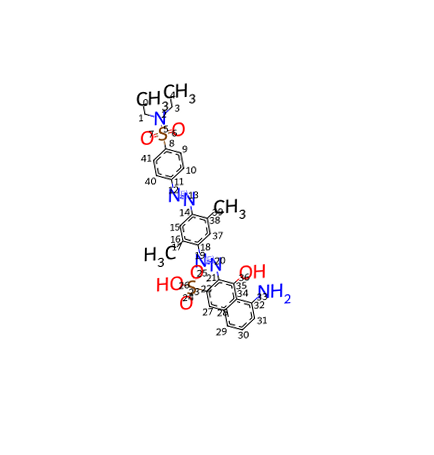 CCN(CC)S(=O)(=O)c1ccc(/N=N/c2cc(C)c(/N=N/c3c(S(=O)(=O)O)cc4cccc(N)c4c3O)cc2C)cc1